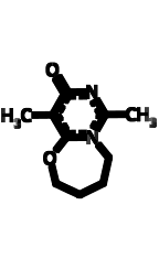 Cc1c2n(c(C)nc1=O)CCCCO2